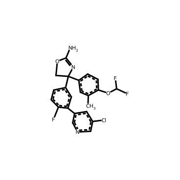 Cc1cc(C2(c3ccc(F)c(-c4cncc(Cl)c4)c3)COC(N)=N2)ccc1OC(F)F